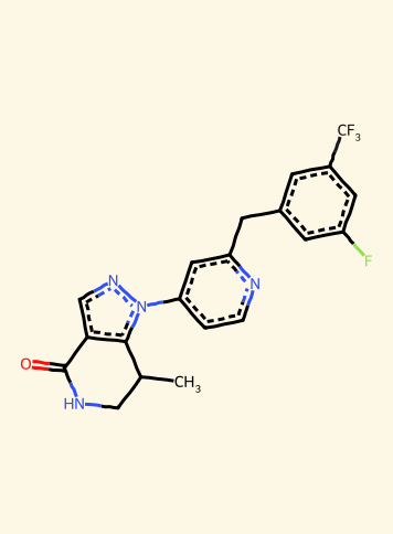 CC1CNC(=O)c2cnn(-c3ccnc(Cc4cc(F)cc(C(F)(F)F)c4)c3)c21